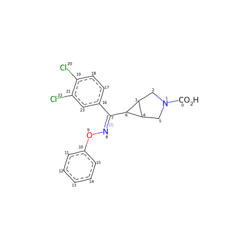 O=C(O)N1CC2C(C1)C2/C(=N/Oc1ccccc1)c1ccc(Cl)c(Cl)c1